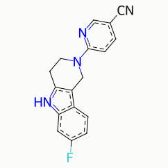 N#Cc1ccc(N2CCc3[nH]c4cc(F)ccc4c3C2)nc1